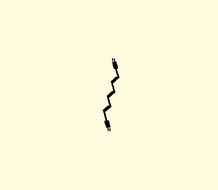 N#CC=CC=CC=CC#N